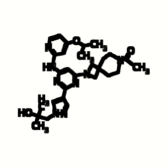 CC(=O)N1CCC2(CC1)CN(c1cc(Nc3cc(OC(C)C)ccn3)nc(-c3cnn(CC(C)(C)O)c3)n1)C2